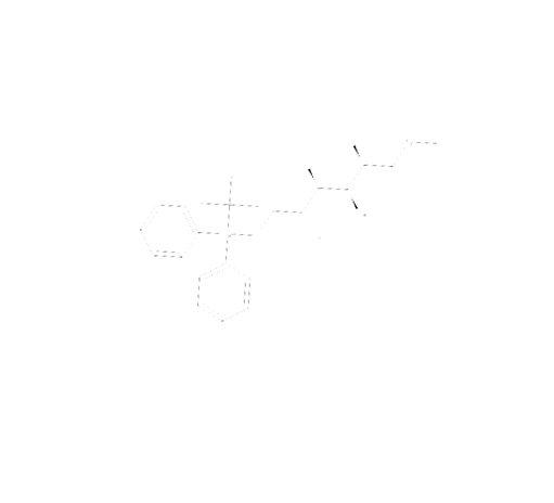 CNC[C@H](O)[C@@H](O)[C@H](O)[C@H](O)CO[Si](c1ccccc1)(c1ccccc1)C(C)(C)C